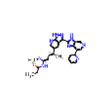 C=N/C(=C\C=C(/C)c1cnc2[nH]nc(-c3nc4c(-c5ccccn5)cncc4[nH]3)c2c1)NC(=O)CC